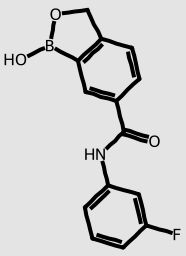 O=C(Nc1cccc(F)c1)c1ccc2c(c1)B(O)OC2